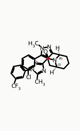 Cc1nc(C(=O)N2[C@H]3CCC[C@@H]2c2nn(C)c(-c4cccc(Cl)c4)c2C3)nn1-c1cccc(C(F)(F)F)c1